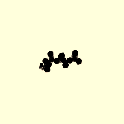 CC1(C)c2ccccc2-c2ccc3c(c21)c1ccccc1n3-c1cc(-c2cccc(CC3(C)c4ccccc4-c4cc5c(cc43)c3ccccc3n5-c3ccc(-c4nc(-c5ccccc5)nc(-c5ccccc5)n4)cc3)c2)nc(-c2ccccc2)n1